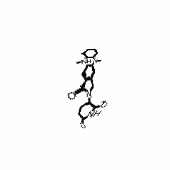 CN[C@@H]1CCCC[C@@H]1N(C)c1ccc2c(c1)CN(C1CCC(=O)NC1=O)C2=O